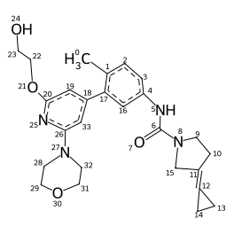 Cc1ccc(NC(=O)N2CCC(=C3CC3)C2)cc1-c1cc(OCCO)nc(N2CCOCC2)c1